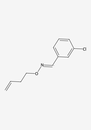 C=CCCON=[C]c1cccc(Cl)c1